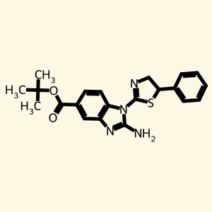 CC(C)(C)OC(=O)c1ccc2c(c1)nc(N)n2C1=NCC(c2ccccc2)S1